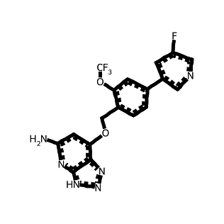 Nc1cc(OCc2ccc(-c3cncc(F)c3)cc2OC(F)(F)F)c2nn[nH]c2n1